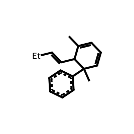 CCC=CC1C(C)=CC=CC1(C)c1ccccc1